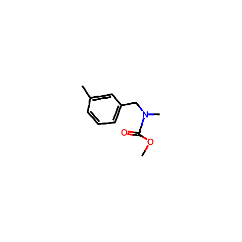 COC(=O)N(C)Cc1cccc(C)c1